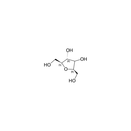 OC[C@@H]1O[C@H](CO)C(O)[C@H]1O